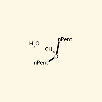 C.CCCCCOCCCCC.O